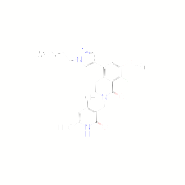 CNCCn1cc(-c2cc(OC(C)C)c(Cl)c3c2CCN(Cc2c(C)cc(C)[nH]c2=O)C3=O)cn1